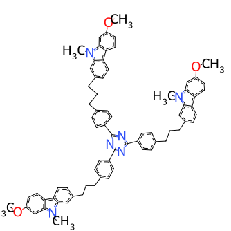 COc1ccc2c3ccc(CCCc4ccc(-c5nc(-c6ccc(CCCc7ccc8c9ccc(OC)cc9n(C)c8c7)cc6)nc(-c6ccc(CCCc7ccc8c9ccc(OC)cc9n(C)c8c7)cc6)n5)cc4)cc3n(C)c2c1